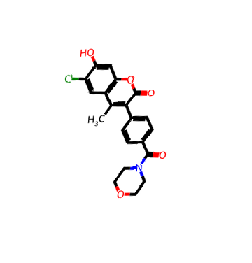 Cc1c(-c2ccc(C(=O)N3CCOCC3)cc2)c(=O)oc2cc(O)c(Cl)cc12